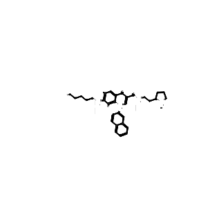 CN1CCCC1CCNC(=O)c1cn2c3c(c(NCCCCCO)c(F)cc3c1=O)Oc1cc3ccccc3cc1-2